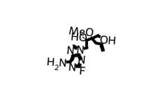 C=CC[C@](CO)(OC)[C@@H](O)Cn1cnc2c(N)nc(F)nc21